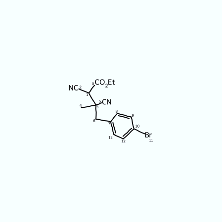 CCOC(=O)C(C#N)C(C)(C#N)Cc1ccc(Br)cc1